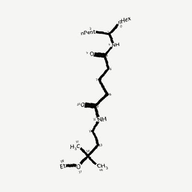 CCCCCCC(CCCCC)NC(=O)CCCC(=O)NCCC(C)(C)OCC